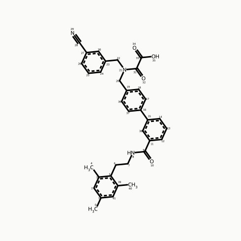 Cc1cc(C)c(CCNC(=O)c2cccc(-c3ccc(CN(Cc4cccc(C#N)c4)C(=O)C(=O)O)cc3)c2)c(C)c1